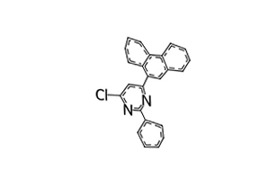 Clc1cc(-c2cc3ccccc3c3ccccc23)nc(-c2ccccc2)n1